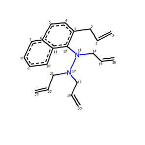 C=CCc1ccc2ccccc2c1N(CC=C)N(CC=C)CC=C